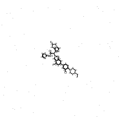 CCN1CCN(c2ccc(-c3cc(F)c4cn(C(C(=O)Nc5nccs5)c5ncn6c5CC(F)C6)nc4c3)cc2Cl)CC1